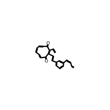 C=C/C=C\c1cccc(/C=C/C2=C(\C=C)C(=O)/C=C/C=C\C=C\C2=O)c1